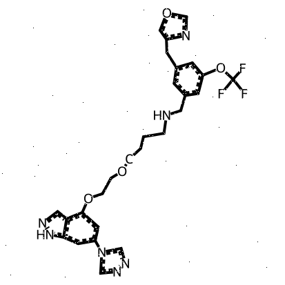 FC(F)(F)Oc1cc(CNCCCCOCCOc2cc(-n3cnnc3)cc3[nH]ncc23)cc(Cc2cocn2)c1